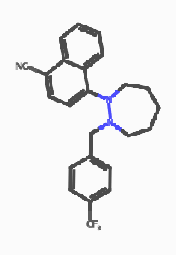 N#Cc1ccc(N2CCCCCN2Cc2ccc(C(F)(F)F)cc2)c2ccccc12